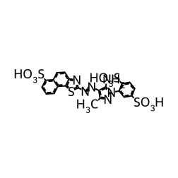 Cc1nn(-c2cc(S(=O)(=O)O)ccc2S(=O)(=O)O)c(N)c1/N=N/c1nc2ccc3c(S(=O)(=O)O)cccc3c2s1